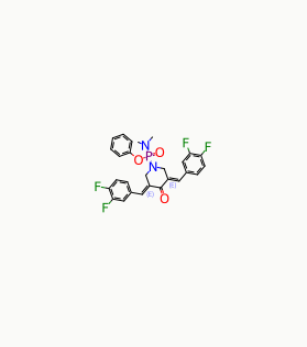 CN(C)P(=O)(Oc1ccccc1)N1C/C(=C\c2ccc(F)c(F)c2)C(=O)/C(=C/c2ccc(F)c(F)c2)C1